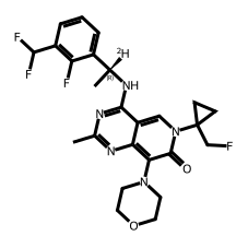 [2H][C@](C)(Nc1nc(C)nc2c(N3CCOCC3)c(=O)n(C3(CF)CC3)cc12)c1cccc(C(F)F)c1F